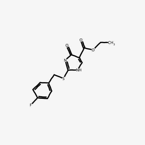 CCOC(=O)c1c[nH]c(SCc2ccc(F)cc2)nc1=O